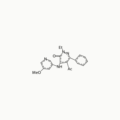 CCn1nc(-c2ccccc2)c(C(C)=O)c(Nc2cncc(OC)c2)c1=O